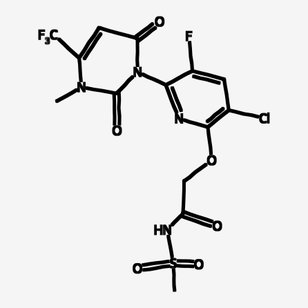 Cn1c(C(F)(F)F)cc(=O)n(-c2nc(OCC(=O)NS(C)(=O)=O)c(Cl)cc2F)c1=O